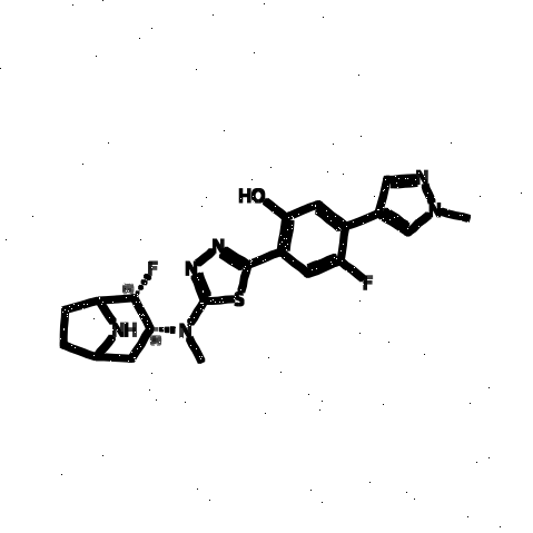 CN(c1nnc(-c2cc(F)c(-c3cnn(C)c3)cc2O)s1)[C@@H]1CC2CCC(N2)[C@@H]1F